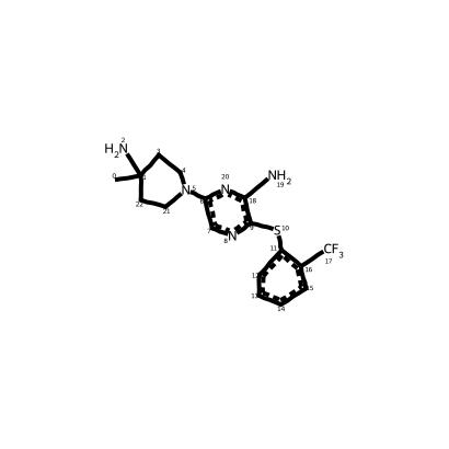 CC1(N)CCN(c2cnc(Sc3ccccc3C(F)(F)F)c(N)n2)CC1